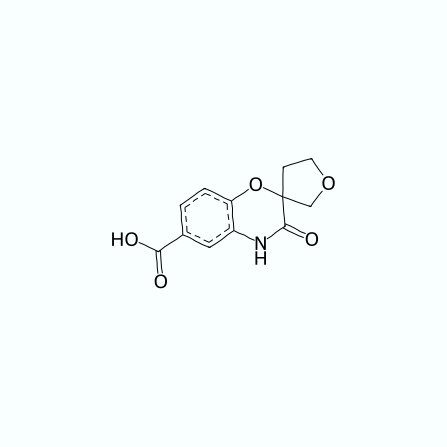 O=C(O)c1ccc2c(c1)NC(=O)C1(CCOC1)O2